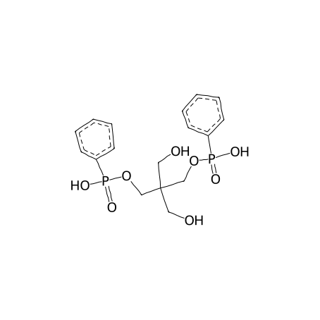 O=P(O)(OCC(CO)(CO)COP(=O)(O)c1ccccc1)c1ccccc1